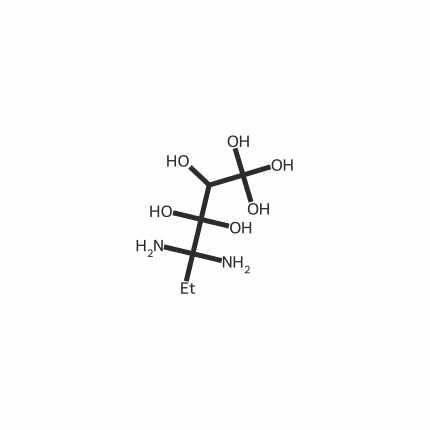 CCC(N)(N)C(O)(O)C(O)C(O)(O)O